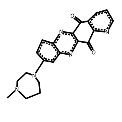 CN1CCCN(c2ccc3nc4c(nc3c2)C(=O)c2ncccc2C4=O)CC1